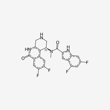 CN(C(=O)c1cc2c(F)cc(F)cc2[nH]1)[C@@H]1CNCc2[nH]c(=O)c3cc(F)c(F)cc3c21